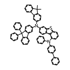 CC1(C)c2ccccc2-c2cc(N(c3ccc4c(c3)-c3ccccc3C4(c3ccccc3)c3ccccc3)c3ccc4c(c3)sc3cccc(N(c5ccccc5)c5ccc(-c6ccccc6)cc5)c34)ccc21